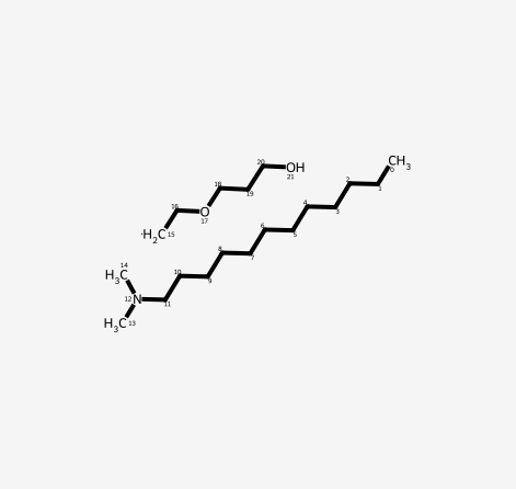 CCCCCCCCCCCCN(C)C.[CH2]COCCCO